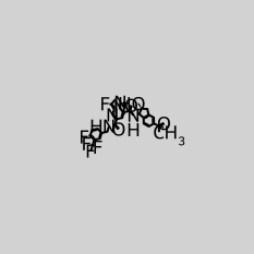 CC(=O)c1ccc2c(c1)C[C@H](O)[C@@H]2NC(=O)c1cc(C(=O)NCc2ccc(F)c(C(F)(F)F)c2)nc2c(F)cnn12